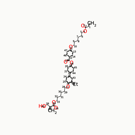 C=CC(=O)OCCCCCCOc1ccc(C(=O)Oc2ccc(-c3ccc(OCCCCCCOC(=O)C(=C)CO)c(CC)c3)cc2)cc1